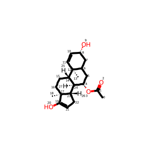 CC(=O)O[C@H]1CC2C[C@@H](O)C=C[C@]2(C)[C@H]2CC[C@]3(C)C(O)=CC[C@H]3[C@H]12